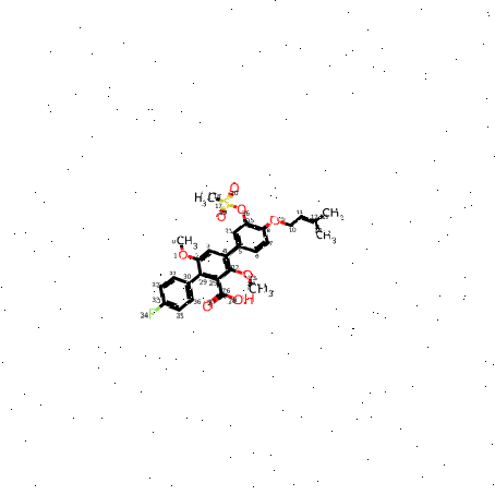 COc1cc(-c2ccc(OCC=C(C)C)c(OS(C)(=O)=O)c2)c(OC)c(C(=O)O)c1-c1ccc(F)cc1